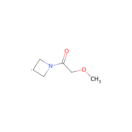 COCC(=O)N1C[CH]C1